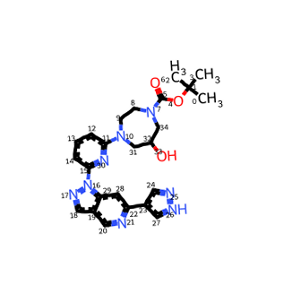 CC(C)(C)OC(=O)N1CCN(c2cccc(-n3ncc4cnc(-c5cn[nH]c5)cc43)n2)CC(O)C1